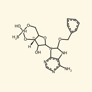 B[PH]1(O)OCC2OC(N3c4ncnc(N)c4NC3OCc3ccccc3)C(O)[C@@H]2O1